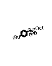 CCCCCCCCS(=O)(=O)Oc1ccc(C(C)(C)C)cc1